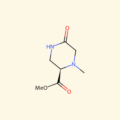 COC(=O)[C@H]1CNC(=O)CN1C